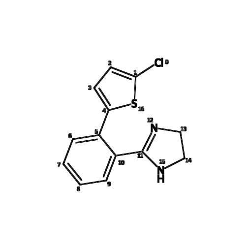 Clc1ccc(-c2ccccc2C2=NCCN2)s1